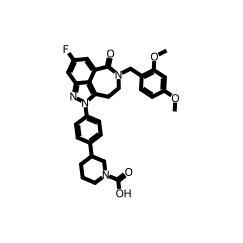 COc1ccc(CN2CCc3c4c(cc(F)cc4nn3-c3ccc(C4CCCN(C(=O)O)C4)cc3)C2=O)c(OC)c1